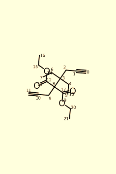 C#CCC(CC)(CC)C(CC#C)(C(=O)OCC)C(=O)OCC